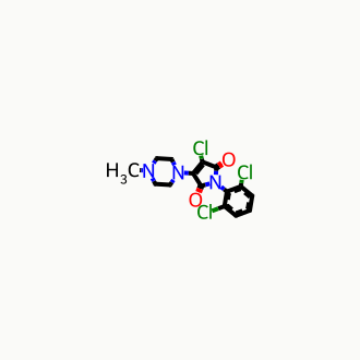 CN1CCN(C2=C(Cl)C(=O)N(c3c(Cl)cccc3Cl)C2=O)CC1